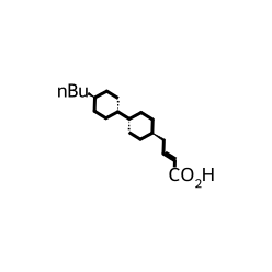 CCCC[C@H]1CC[C@H]([C@H]2CC[C@H](C/C=C/C(=O)O)CC2)CC1